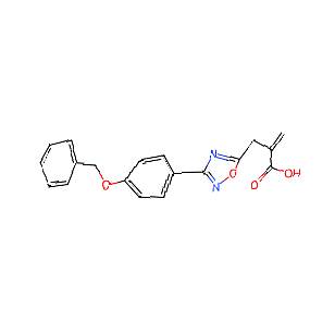 C=C(Cc1nc(-c2ccc(OCc3ccccc3)cc2)no1)C(=O)O